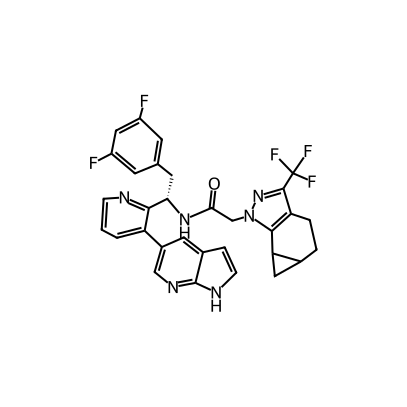 O=C(Cn1nc(C(F)(F)F)c2c1C1CC1CC2)N[C@@H](Cc1cc(F)cc(F)c1)c1ncccc1-c1cnc2[nH]ccc2c1